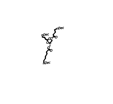 CCCCCCCCCCCCCCCC(=O)OC[C@@H](COC(=O)CCCCCCCCCCCCC)OC(=O)CCCCCCCCCCCCC